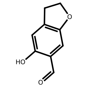 O=Cc1cc2c(cc1O)CCO2